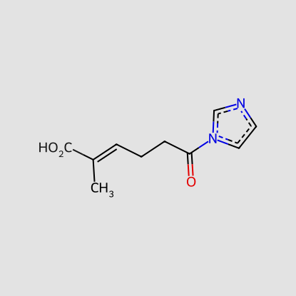 CC(=CCCC(=O)n1ccnc1)C(=O)O